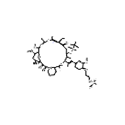 CCC1/C=C(\C)CC(C)CC(OC)C2OC(O)(C(=O)C(=O)N3CCCCC3C(=O)OC(C(C)=CC3CCC(OCCOS(C)(=O)=O)C(OC)C3)C(C)C(O[Si](C)(C)C(C)(C)C)CC1=O)C(C)CC2OC